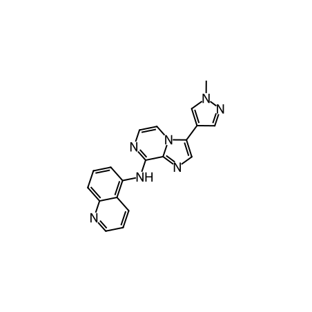 Cn1cc(-c2cnc3c(Nc4cccc5ncccc45)nccn23)cn1